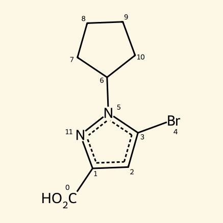 O=C(O)c1cc(Br)n(C2CCCC2)n1